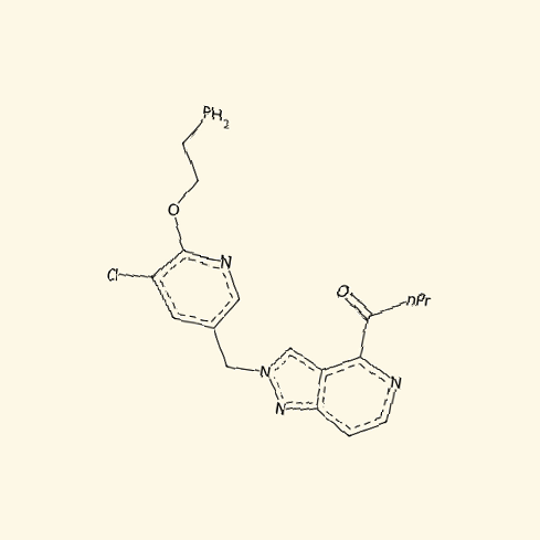 CCCC(=O)c1nccc2nn(Cc3cnc(OCCP)c(Cl)c3)cc12